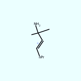 CCC/C=C/C(C)(C)N